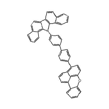 c1ccc2c(c1)Oc1ccc(-c3ccc(-c4ccc(-n5c6c7ccccc7ccc6c6ccc7ccccc7c65)cc4)cc3)c3cccc-2c13